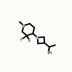 CC(C)C(C)C1CN(C2CCN(C)CC2(F)F)C1